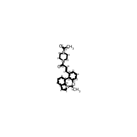 CCn1ccc2cccc(-c3c(Cl)[c]ccc3/C=C/C(=O)N3CCN(C(C)=O)CC3)c21